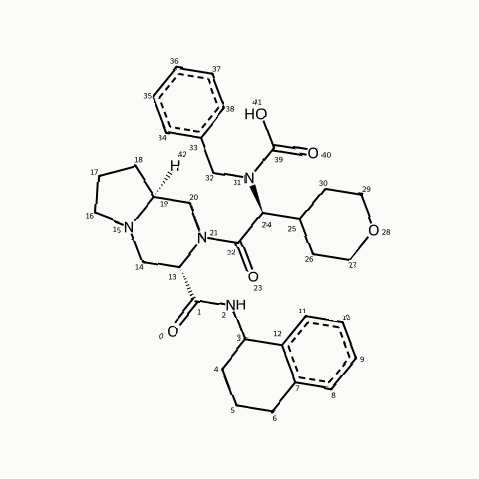 O=C(NC1CCCc2ccccc21)[C@@H]1CN2CCC[C@H]2CN1C(=O)[C@H](C1CCOCC1)N(Cc1ccccc1)C(=O)O